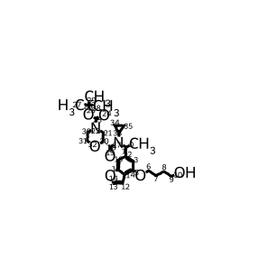 CC(c1cc(OCCCCO)c2ccoc2c1)N(C(=O)[C@H]1CN(C(=O)OC(C)(C)C)CCO1)C1CC1